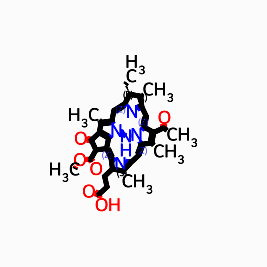 CC[C@H]1/C2=C/c3c(C)c4c5n3Nn3/c(c(C)c(C(C)=O)/c3=C/C(=N2)[C@@H]1C)=C\C1=NC(=C\5C(C(=O)OC)C4=O)/C(CCC(=O)O)[C@@H]1C